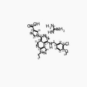 CCn1ncc2c3c(NCc4ccc(OC)c(Cl)c4)nnc(-n4cnc(C(=O)O)c4)c3cnc21.N=C(N)N